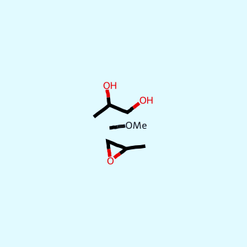 CC(O)CO.CC1CO1.COC